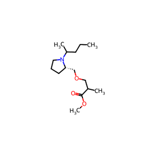 CCCC(C)N1CCC[C@H]1COCC(C)C(=O)OC